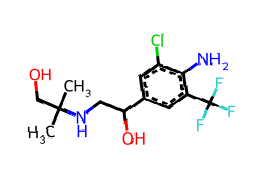 CC(C)(CO)NCC(O)c1cc(Cl)c(N)c(C(F)(F)F)c1